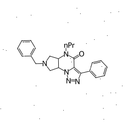 CCCN1C(=O)c2c(-c3ccccc3)nnn2C2CN(Cc3ccccc3)CC21